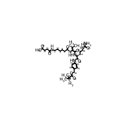 CC(C)[C@H](NC(=O)CCCCCNC(=O)CCC(=O)O)C(=O)N[C@@H](CCCNC(N)=O)C(=O)Nc1ccc(COC(=O)C(C)(C)C)cc1